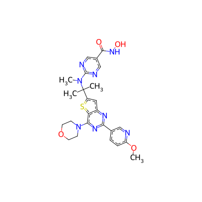 COc1ccc(-c2nc(N3CCOCC3)c3sc(C(C)(C)N(C)c4ncc(C(=O)NO)cn4)cc3n2)cn1